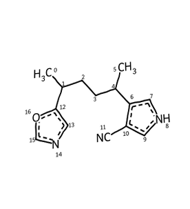 CC(CCC(C)c1c[nH]cc1C#N)c1cnco1